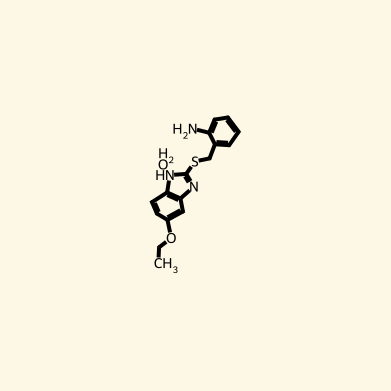 CCOc1ccc2[nH]c(SCc3ccccc3N)nc2c1.O